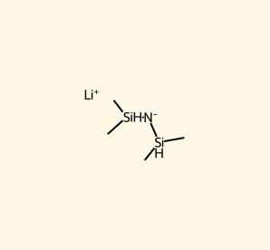 C[SiH](C)[N-][SiH](C)C.[Li+]